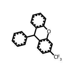 FC(F)(F)c1ccc2c(c1)Oc1ccccc1C2c1ccccc1